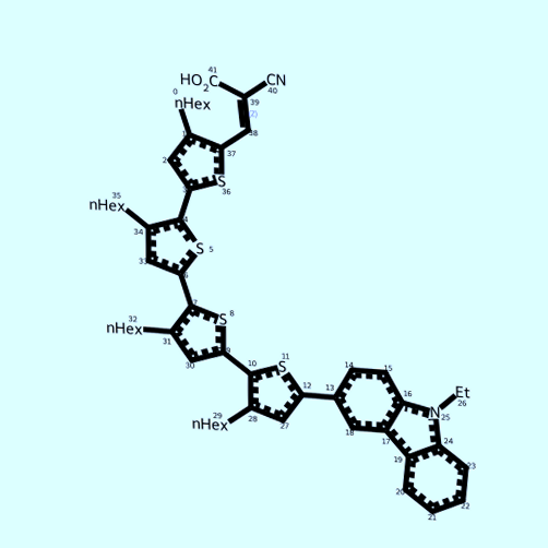 CCCCCCc1cc(-c2sc(-c3sc(-c4sc(-c5ccc6c(c5)c5ccccc5n6CC)cc4CCCCCC)cc3CCCCCC)cc2CCCCCC)sc1/C=C(/C#N)C(=O)O